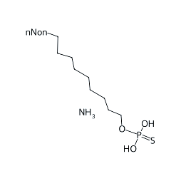 CCCCCCCCCCCCCCCCCCOP(O)(O)=S.N